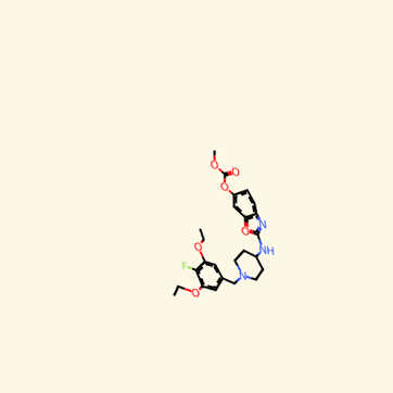 CCOc1cc(CN2CCC(Nc3nc4ccc(OC(=O)OC)cc4o3)CC2)cc(OCC)c1F